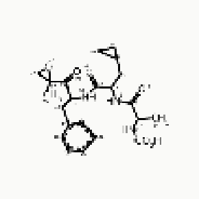 CC(NC(=O)O)C(=O)NC(CC1CC1)C(=O)NC(Cc1ccccc1)C(=O)C1(C)CO1